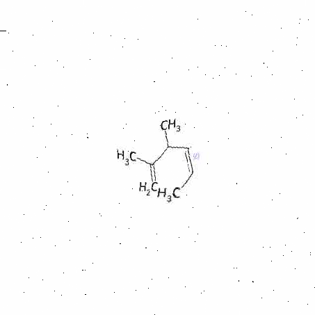 C=C(C)C(C)/C=C\C